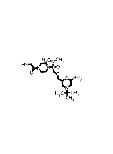 BC1CN(C(C)(C)C)CC(COCP(=O)(N(C)C)N2CCN(C(=O)CS)CC2)O1